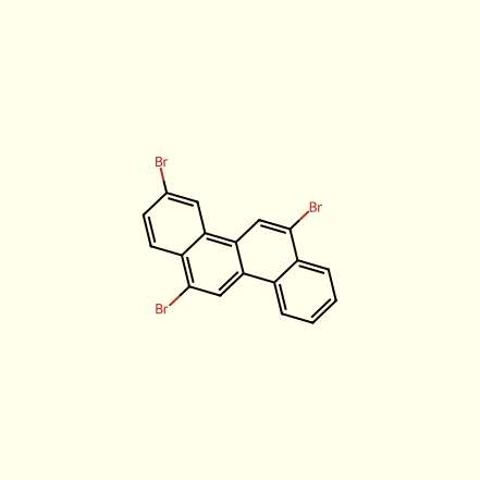 Brc1ccc2c(Br)cc3c4ccccc4c(Br)cc3c2c1